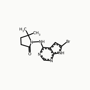 CC1(C)CCC(=O)N1Nc1ncnc2[nH]c(Br)cc12